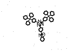 c1ccc(C(c2ccccc2)(c2ccccc2)c2ccc(-c3nc(-c4ccc(-c5nc6ccccc6o5)cc4)nc(-c4ccc(C(c5ccccc5)(c5ccccc5)c5ccccc5)cc4)n3)cc2)cc1